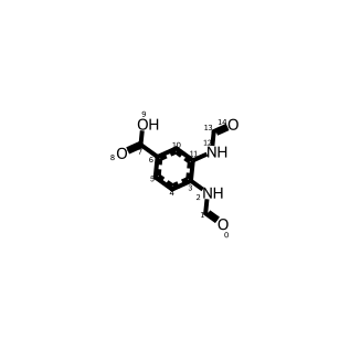 O=CNc1ccc(C(=O)O)cc1NC=O